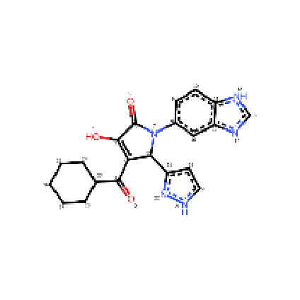 O=C(C1=C(O)C(=O)N(c2ccc3[nH]cnc3c2)C1c1cc[nH]n1)C1CCCCC1